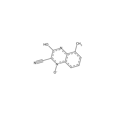 Cc1cccc2c1nc(O)c(C#N)[n+]2[O-]